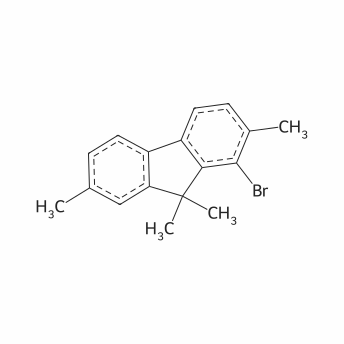 Cc1ccc2c(c1)C(C)(C)c1c-2ccc(C)c1Br